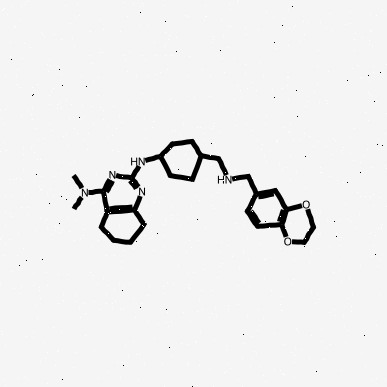 CN(C)c1nc(NC2CCC(CNCc3ccc4c(c3)OCCO4)CC2)nc2c1CCCC2